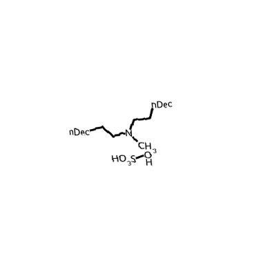 CCCCCCCCCCCCN(C)CCCCCCCCCCCC.O=S(=O)(O)O